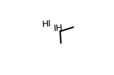 CCC.I.I